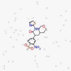 CS(=O)(=O)c1ccc(C(CC2CCOCC2)C(=O)Nc2nccs2)cc1N